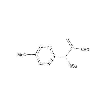 C=C(C=O)[C@H](CCCC)c1ccc(OC)cc1